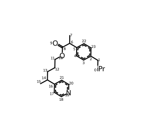 CC(C)Cc1ccc(C(C)C(=O)OCCCC(C)c2ccncc2)cc1